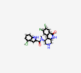 CN(C(=O)c1cc2c(Cl)cccc2[nH]1)C1CNCc2[nH]c(=O)c3cc(F)c(F)cc3c21